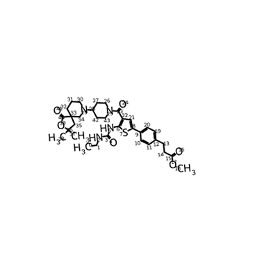 CCNC(=O)Nc1sc(-c2ccc(CCC(=O)OC)cc2)cc1C(=O)N1CCC(N2CCCC3(C2)CC(C)(C)OC3=O)CC1